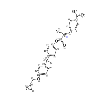 CCN(CC)c1ccc(/C=C(\C#N)C(=O)Oc2ccc(C(C)(C)c3ccc(OCC4CO4)cc3)cc2)cc1